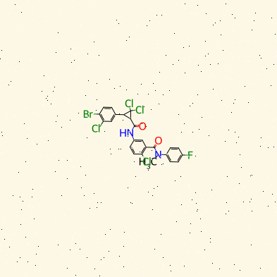 CN(C(=O)c1cc(NC(=O)C2C(c3ccc(Br)c(Cl)c3)C2(Cl)Cl)ccc1Cl)c1ccc(F)cc1